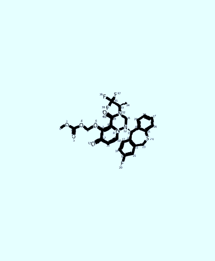 COC(=O)OCOc1c2n(ccc1=O)N([C@H]1c3ccc(F)cc3CSc3ccccc31)CN([C@H](C)C(F)(F)F)C2=O